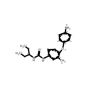 CCC(CC)NC(=O)Nc1ccc(Oc2ccc(N)cc2)c(C)c1